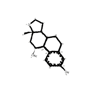 CC(=O)O[C@@H]1C[C@]2(C)OCCC2C2CCc3cc(O)ccc3C21